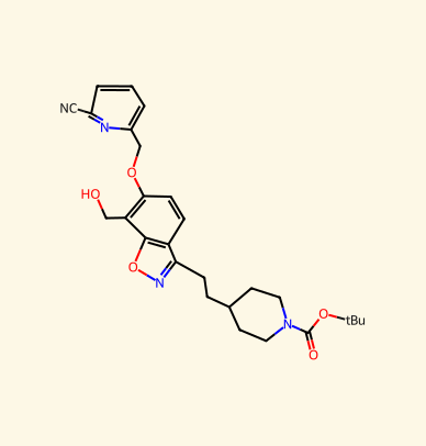 CC(C)(C)OC(=O)N1CCC(CCc2noc3c(CO)c(OCc4cccc(C#N)n4)ccc23)CC1